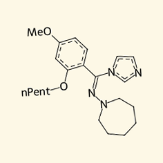 CCCCCOc1cc(OC)ccc1C(=NN1CCCCCC1)n1ccnc1